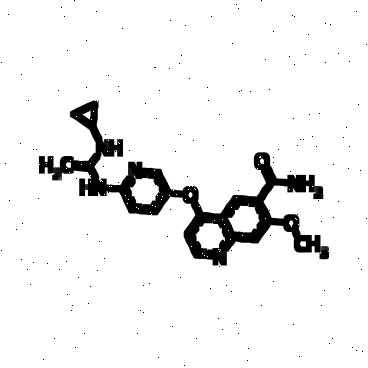 C=C(Nc1ccc(Oc2ccnc3cc(OC)c(C(N)=O)cc23)cn1)NC1CC1